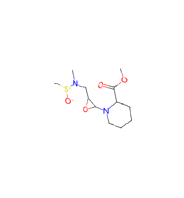 COC(=O)C1CCCCN1C1OC1CN(C)[S+](C)[O-]